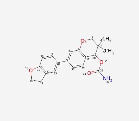 CC1(C)COc2cc(-c3ccc4c(c3)CCO4)ccc2C1OC(N)=O